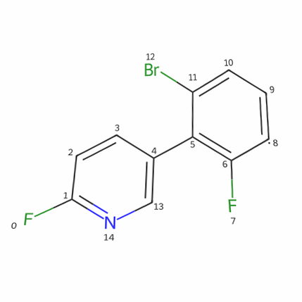 Fc1ccc(-c2c(F)[c]ccc2Br)cn1